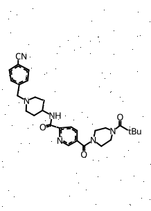 CC(C)(C)C(=O)N1CCN(C(=O)c2ccc(C(=O)NC3CCN(Cc4ccc(C#N)cc4)CC3)nc2)CC1